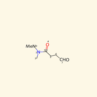 CNN(C)C(=O)CCC=O